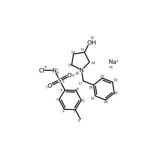 Cc1ccc(S(=O)(=O)[N-]Cl)cc1.OC1CCN(Cc2ccccc2)C1.[Na+]